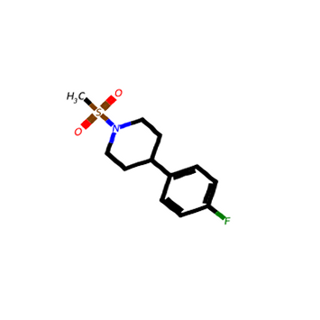 CS(=O)(=O)N1CCC(c2ccc(F)cc2)CC1